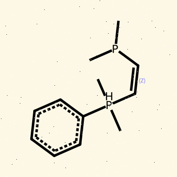 CP(C)/C=C\[PH](C)(C)c1ccccc1